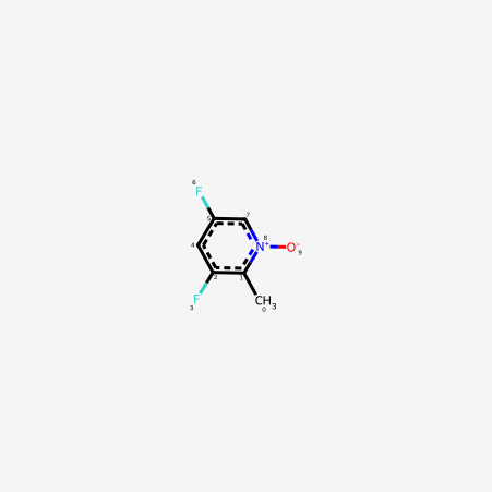 Cc1c(F)cc(F)c[n+]1[O-]